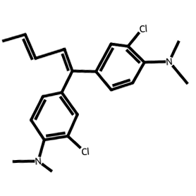 CC=CC=C(c1ccc(N(C)C)c(Cl)c1)c1ccc(N(C)C)c(Cl)c1